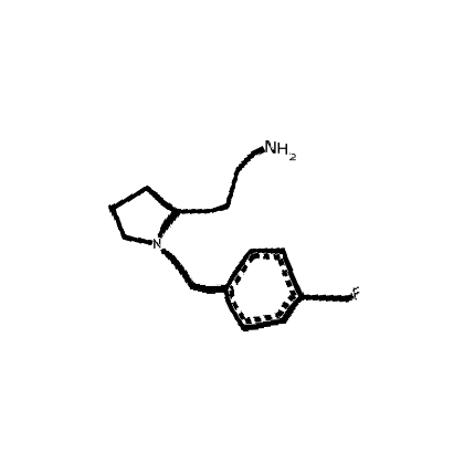 NCCC1CCCN1Cc1ccc(F)cc1